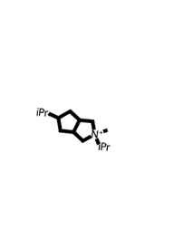 CC(C)C1CC2C[N+](C)(C(C)C)CC2C1